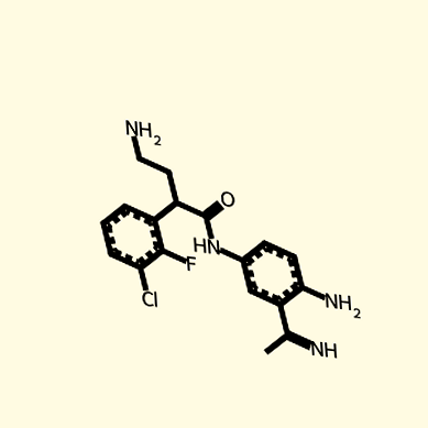 CC(=N)c1cc(NC(=O)C(CCN)c2cccc(Cl)c2F)ccc1N